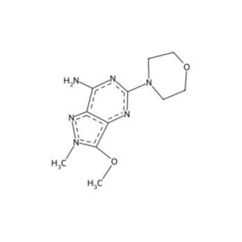 COc1c2nc(N3CCOCC3)nc(N)c2nn1C